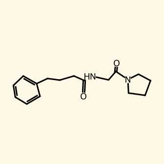 O=C(CCCc1ccccc1)NCC(=O)N1CCCC1